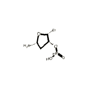 B[C@H]1C[C@@H](O[PH](=O)O)[C@@H](CC)O1